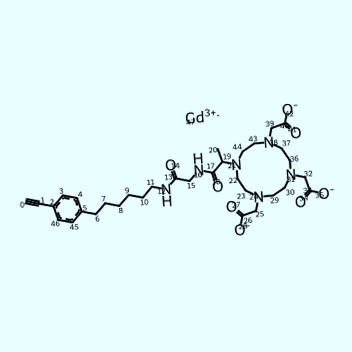 C#Cc1ccc(CCCCCCNC(=O)CNC(=O)C(C)N2CCN(CC(=O)[O-])CCN(CC(=O)[O-])CCN(CC(=O)[O-])CC2)cc1.[Gd+3]